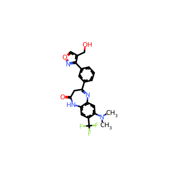 CN(C)c1cc2c(cc1C(F)(F)F)NC(=O)CC(c1cccc(-c3nocc3CO)c1)=N2